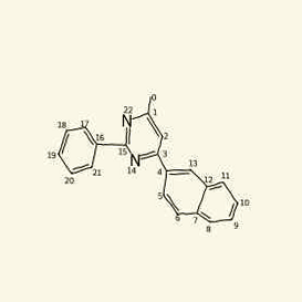 Cc1cc(-c2ccc3ccccc3c2)nc(-c2ccccc2)n1